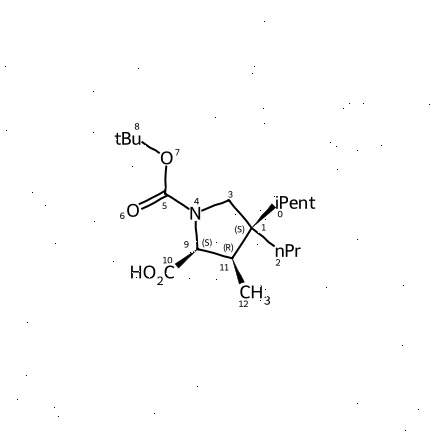 CCCC(C)[C@]1(CCC)CN(C(=O)OC(C)(C)C)[C@H](C(=O)O)[C@@H]1C